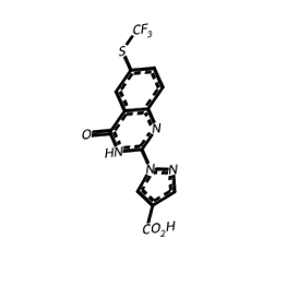 O=C(O)c1cnn(-c2nc3ccc(SC(F)(F)F)cc3c(=O)[nH]2)c1